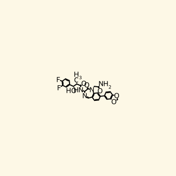 C[C@H](C(=O)NC1N=Cc2ccc(-c3ccc4c(c3)OCO4)cc2N(CC(N)=O)C1=O)[C@H](O)c1ccc(F)c(F)c1